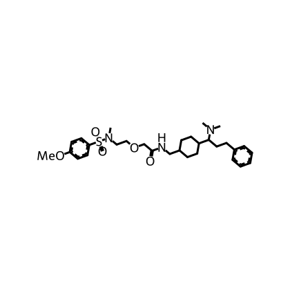 COc1ccc(S(=O)(=O)N(C)CCOCC(=O)NCC2CCC(C(CCc3ccccc3)N(C)C)CC2)cc1